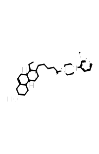 COc1ncccc1N1CCN(C(=O)CC[C@@H](C)[C@H]2CC[C@H]3[C@@H]4CC=C5C[C@@H](O)CC[C@]5(C)[C@H]4CC[C@]23C)CC1